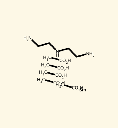 CC(=O)O.CC(=O)O.CC(=O)O.CC(=O)O.CC(=O)O.NCCNCCN.[Sm]